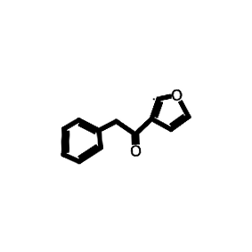 O=C(Cc1ccccc1)c1[c]occ1